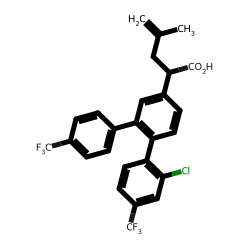 C=C(C)CC(C(=O)O)c1ccc(-c2ccc(C(F)(F)F)cc2Cl)c(-c2ccc(C(F)(F)F)cc2)c1